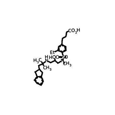 CCc1cc(CCCC(=O)O)ccc1S(=O)(=O)N(C)CC(O)CNC(C)(C)CC1Cc2ccccc2C1